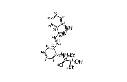 CCC(O)(CC)C(=O)Nc1ccccc1/C=C/c1n[nH]c2ccccc12